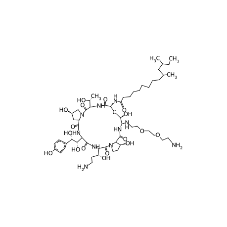 CCC(C)CC(C)CCCCCCCCC(=O)N[C@H]1C[C@@H](O)C(NCCOCCOCCN)NC(=O)C2[C@@H](O)CCN2C(=O)C([C@H](O)CCN)NC(=O)C([C@H](O)[C@@H](O)c2ccc(O)cc2)NC(=O)C2C[C@@H](O)CN2C(=O)C([C@@H](C)O)NC1=O